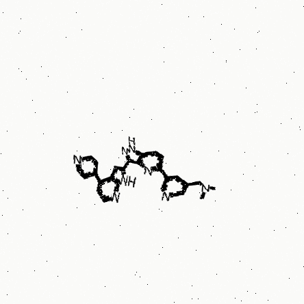 CN(C)Cc1cncc(-c2ccc3[nH]nc(-c4cc5c(-c6ccncc6)ccnc5[nH]4)c3n2)c1